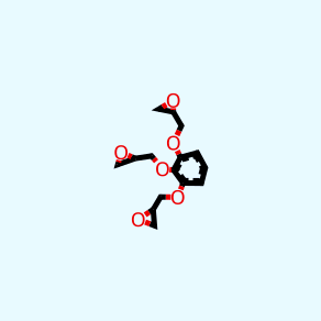 c1cc(OCC2CO2)c(OCC2CO2)c(OCC2CO2)c1